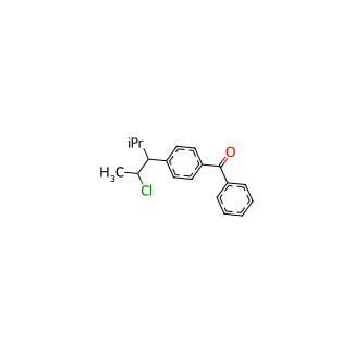 CC(C)C(c1ccc(C(=O)c2ccccc2)cc1)C(C)Cl